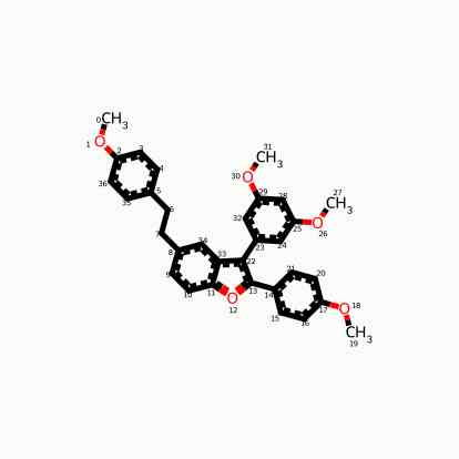 COc1ccc(CCc2ccc3oc(-c4ccc(OC)cc4)c(-c4cc(OC)cc(OC)c4)c3c2)cc1